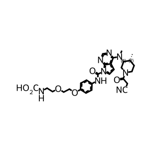 C[C@@H]1CCN(C(=O)CC#N)C[C@@H]1N(C)c1ncnc2c1ccn2C(=O)Nc1ccc(OCCOCCNC(=O)O)cc1